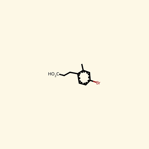 Cc1cc(Br)ccc1CCC(=O)O